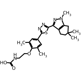 Cc1cc(-c2nnc(-c3nn(C)c4c3CCC(C)(C)C4)s2)cc(C)c1OCCNC(=O)O